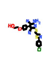 N#Cc1c(N)nc(SCc2cnc(-c3ccc(Cl)cc3)s2)c(C#N)c1-c1ccc(OCCO)cc1